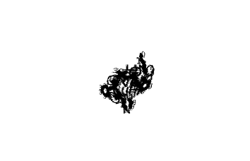 CCCNC(=O)[C@@H]1[C@H]2CCC[C@H]2CN1C(=O)[C@@H](NC(=O)[C@@H](NC(=O)c1cnccn1)C1CCCCC1)C(C)(C)C